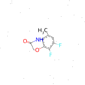 Cc1cc(F)c(F)c2c1NC(=O)CO2